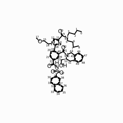 CCCCN(CCCC)C(=O)c1cn(CCOC)c(-c2ccc(C(=O)NS(=O)(=O)c3ccc4ccccc4c3)cc2C(=O)N2Cc3ccccc3C[C@H]2CO)n1